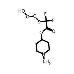 CN1CCC(OC(=O)C(F)(F)SOOO)CC1